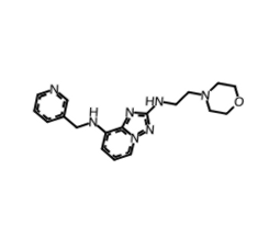 c1cncc(CNc2cccn3nc(NCCN4CCOCC4)nc23)c1